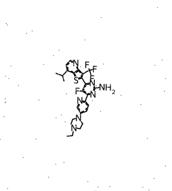 CCN1CCN(c2ccc(-c3nc(N)nc(-c4sc5c(C(C)C)ccnc5c4C(F)(F)F)c3F)nc2)CC1